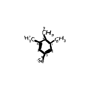 Cc1cc([Se])cc(C)c1C